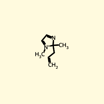 C=CCC1(C)N=CC=[N+]1C